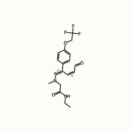 CCNC(=O)CN(C)/N=C(\C=C/C=O)c1ccc(OCC(F)(F)F)cc1